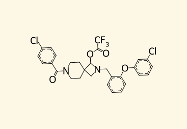 O=C(c1ccc(Cl)cc1)N1CCC2(CC1)CN(Cc1ccccc1Oc1cccc(Cl)c1)C2OC(=O)C(F)(F)F